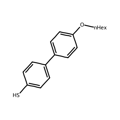 CCCCCCOc1ccc(-c2ccc(S)cc2)cc1